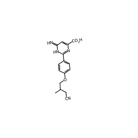 CC(CC#N)COc1ccc(-c2nc(C(=O)O)cc(=N)[nH]2)cc1